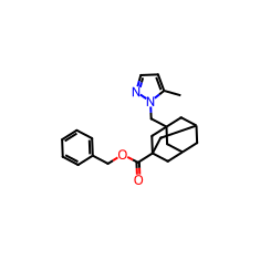 Cc1ccnn1CC12CC3CC(C1)CC(C(=O)OCc1ccccc1)(C3)C2